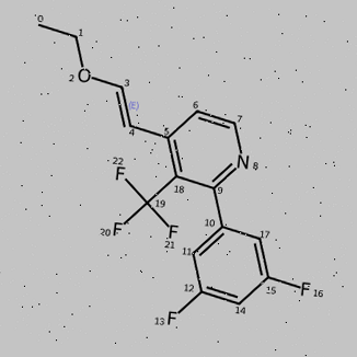 CCO/C=C/c1ccnc(-c2cc(F)cc(F)c2)c1C(F)(F)F